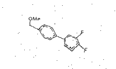 COCc1ccc(-c2ccc(F)c(F)c2)cc1